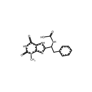 Cn1c(=O)[nH]c(=O)c2[nH]c(C(Cc3ccccc3)NC(=O)O)nc21